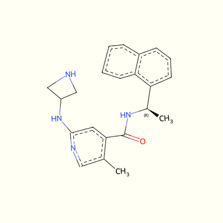 Cc1cnc(NC2CNC2)cc1C(=O)N[C@H](C)c1cccc2ccccc12